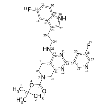 CC(C)(C)OC(=O)N1CCc2c(nc(-c3cncc(F)c3)nc2NCCc2c[nH]c3ccc(F)cc23)C1